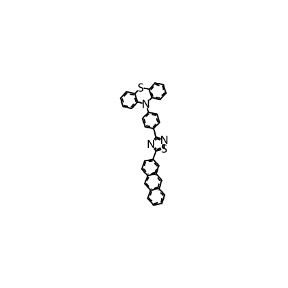 c1ccc2c(c1)Sc1ccccc1N2c1ccc(-c2nsc(-c3ccc4cc5ccccc5cc4c3)n2)cc1